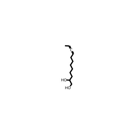 CC=C=CCCCCCCC(O)CO